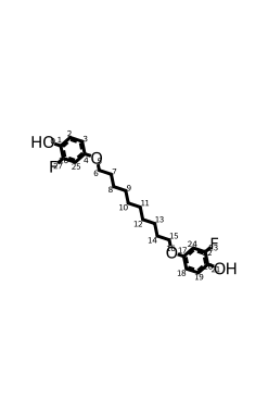 Oc1ccc(OCCCCCCCCCCOc2ccc(O)c(F)c2)cc1F